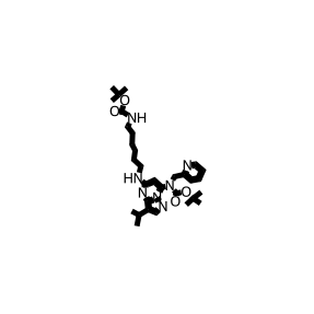 CC(C)c1cnn2c(N(Cc3ccccn3)C(=O)OC(C)(C)C)cc(NCCCCCCNC(=O)OC(C)(C)C)nc12